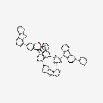 c1ccc(-c2ccc3c(c2)c2ccccc2n3-c2nc(-c3ccc4c(c3)oc3ccccc34)nc(-c3cccc4oc5ccc(-c6ccc7c(c6)c6ccccc6n7-c6ccc(-c7cccc8c7oc7ccccc78)cc6)cc5c34)n2)cc1